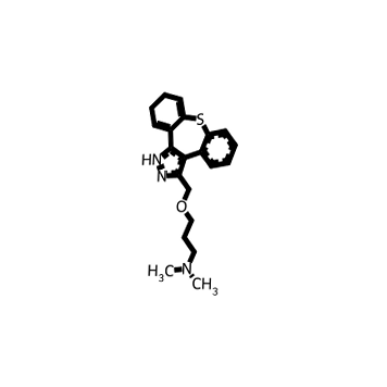 CN(C)CCCOCc1n[nH]c2c1-c1ccccc1SC1=CCCC=C12